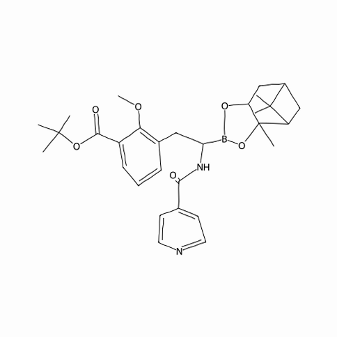 COc1c(CC(NC(=O)c2ccncc2)B2OC3CC4CC(C4(C)C)C3(C)O2)cccc1C(=O)OC(C)(C)C